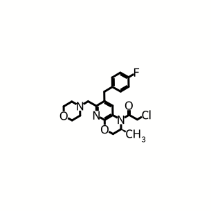 C[C@H]1COc2nc(CN3CCOCC3)c(Cc3ccc(F)cc3)cc2N1C(=O)CCl